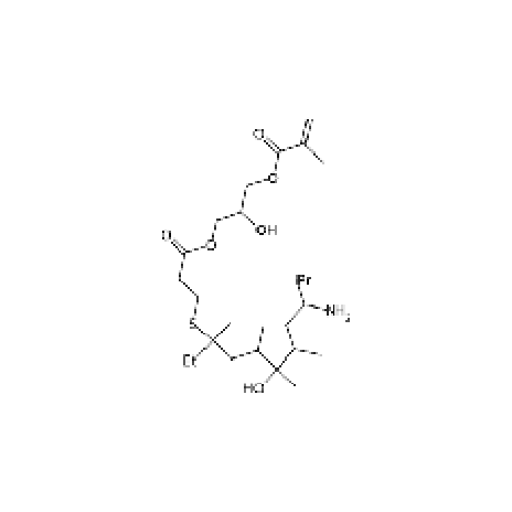 C=C(C)C(=O)OCC(O)COC(=O)CCSC(C)(CC)CC(C)C(C)(O)C(C)CC(N)C(C)C